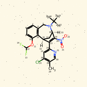 [2H]C([2H])([2H])N1Cc2cccc(OC(F)F)c2[C@H]2C[C@@H]1C([N+](=O)[O-])=C2c1cc(Cl)c(C)cn1